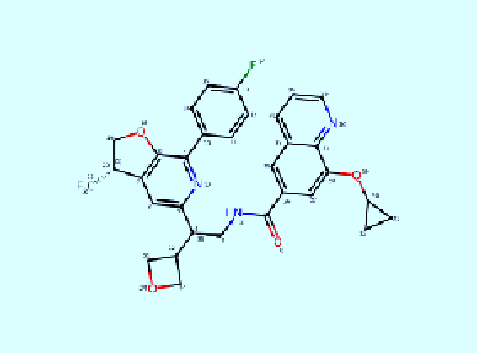 O=C(NC[C@H](c1cc2c(c(-c3ccc(F)cc3)n1)OC[C@H]2C(F)(F)F)C1COC1)c1cc(OC2CC2)c2ncccc2c1